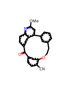 COc1cc2c3cc(ccc3n1)C(=O)c1ccc(C#N)c(c1)OCCc1cccc-2c1